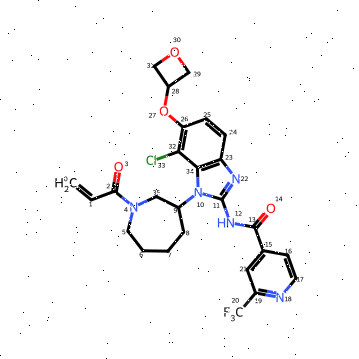 C=CC(=O)N1CCCCC(n2c(NC(=O)c3ccnc(C(F)(F)F)c3)nc3ccc(OC4COC4)c(Cl)c32)C1